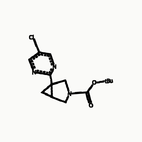 CC(C)(C)OC(=O)N1CC2CC2(c2ncc(Cl)cn2)C1